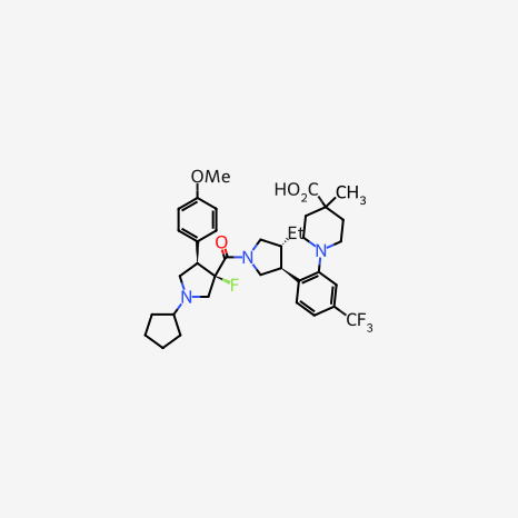 CC[C@H]1CN(C(=O)[C@]2(F)CN(C3CCCC3)C[C@H]2c2ccc(OC)cc2)C[C@@H]1c1ccc(C(F)(F)F)cc1N1CCC(C)(C(=O)O)CC1